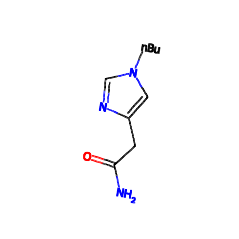 CCCCn1cnc(CC(N)=O)c1